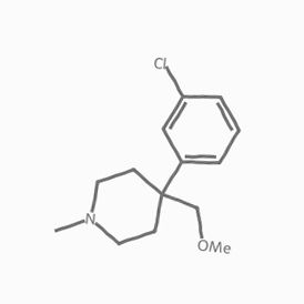 COCC1(c2cccc(Cl)c2)CCN(C)CC1